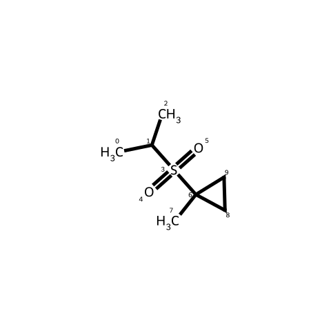 CC(C)S(=O)(=O)C1(C)CC1